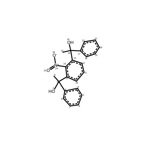 CC(O)(c1ccccc1)c1cccc(C(C)(O)c2ccccc2)c1[N+](=O)[O-]